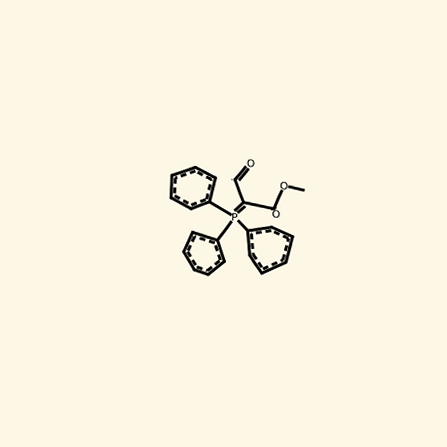 COC(=O)C([C]=O)=P(c1ccccc1)(c1ccccc1)c1ccccc1